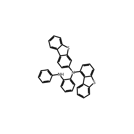 c1ccc(Nc2ccccc2N(c2ccc3c(c2)sc2ccccc23)c2cccc3sc4ccccc4c23)cc1